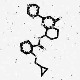 O=C(NC1CCCn2c1nc(-c1ccncn1)cc2=O)c1ccccc1OCC1CC1